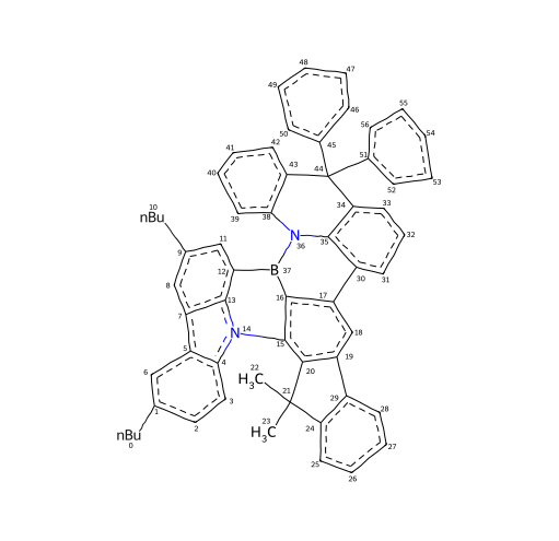 CCCCc1ccc2c(c1)c1cc(CCCC)cc3c1n2-c1c2c(cc4c1C(C)(C)c1ccccc1-4)-c1cccc4c1N(B23)c1ccccc1C4(c1ccccc1)c1ccccc1